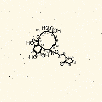 C[C@@H]1C[C@@]2(O)O[C@]2(O)\C=C/C=C/C(=N\OCCN2CCCC2=O)Cc2c(O)c(O)cc(O)c2C(=O)O1